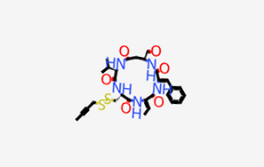 CC#CCSSC[C@@H]1NC(=O)[C@@H](C(C)C)NC(=O)C[C@@H](C=O)NC(=O)/C(=C/c2ccccc2)NC(=O)/C(=C/C)NC1=O